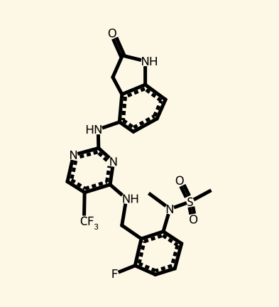 CN(c1cccc(F)c1CNc1nc(Nc2cccc3c2CC(=O)N3)ncc1C(F)(F)F)S(C)(=O)=O